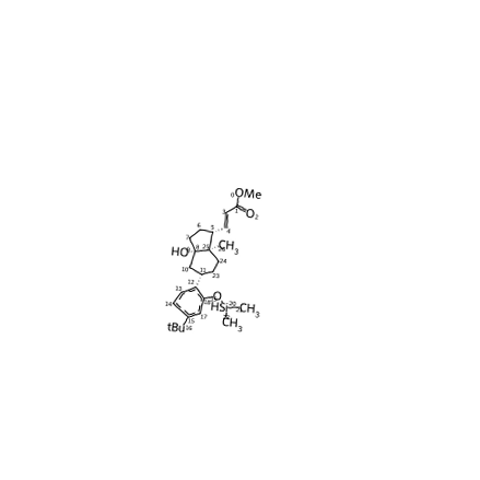 COC(=O)C=C[C@H]1CC[C@]2(O)C[C@@H](c3ccc(C(C)(C)C)cc3O[SiH](C)C)CC[C@]12C